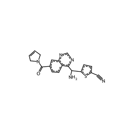 N#Cc1ccc(C(N)c2ncnc3cc(C(=O)N4CC=CC4)ccc23)s1